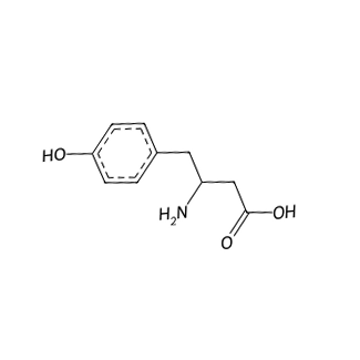 NC(CC(=O)O)Cc1ccc(O)cc1